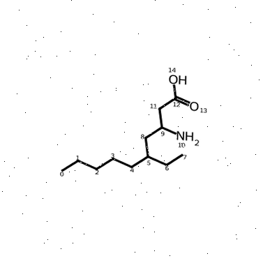 CCCCCC(CC)CC(N)CC(=O)O